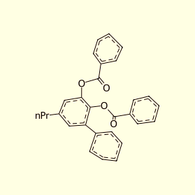 CCCc1cc(OC(=O)c2ccccc2)c(OC(=O)c2ccccc2)c(-c2ccccc2)c1